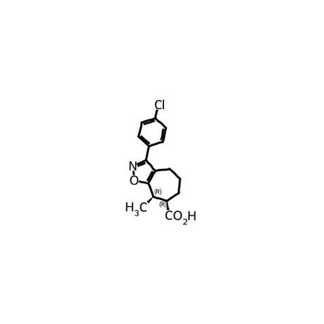 C[C@H]1c2onc(-c3ccc(Cl)cc3)c2CCC[C@H]1C(=O)O